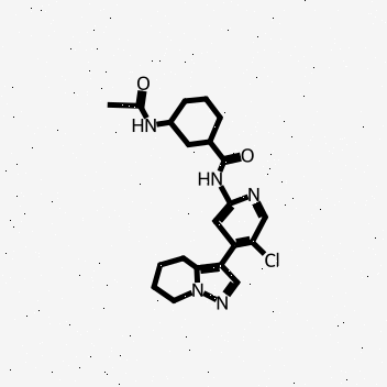 CC(=O)NC1CCCC(C(=O)Nc2cc(-c3cnn4c3CCCC4)c(Cl)cn2)C1